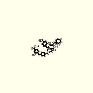 COc1cc(C(=O)O)ccc1Cc1ccc(CN2CCC3(CC2)C(=O)N[C@H](CC2(O)CCCCC2)C(=O)N3Cc2ccccc2)cc1.Cl